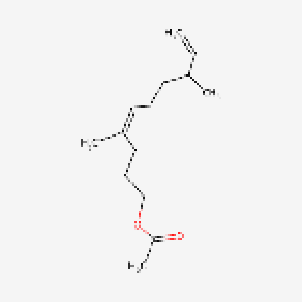 C=CC(C)CCC=C(C)CCCOC(C)=O